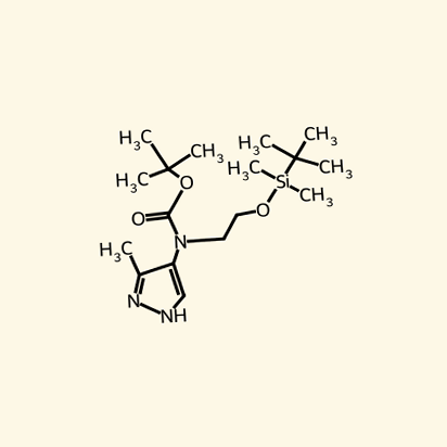 Cc1n[nH]cc1N(CCO[Si](C)(C)C(C)(C)C)C(=O)OC(C)(C)C